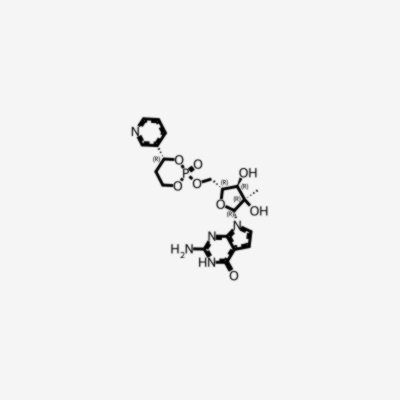 C[C@@]1(O)[C@H](O)[C@@H](COP2(=O)OCC[C@H](c3cccnc3)O2)O[C@H]1n1ccc2c(=O)[nH]c(N)nc21